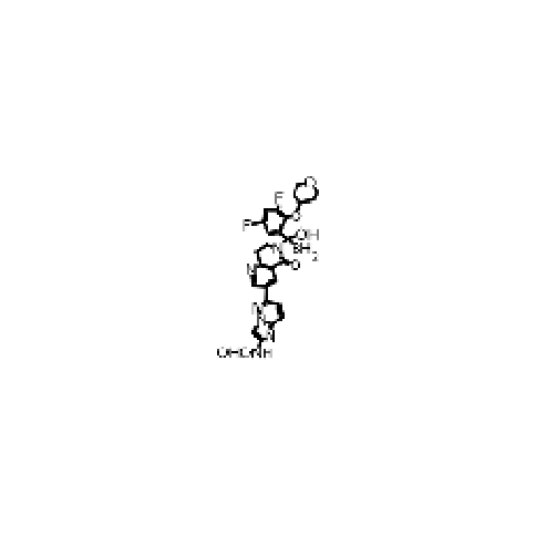 BC(O)(c1cc(F)cc(F)c1OC1CCOCC1)N1CCc2ncc(-c3ccc4nc(NC=O)cn4n3)cc2C1=O